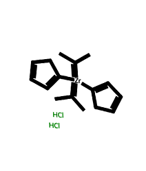 C[C](C)=[Zr]([C]1=CC=CC1)([C]1=CC=CC1)=[C](C)C.Cl.Cl